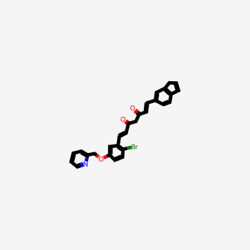 O=C(/C=C/c1ccc2c(c1)CC=C2)CC(=O)/C=C/c1cc(OCc2ccccn2)ccc1Br